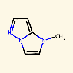 Cn1ccn2nccc12